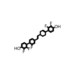 Oc1ccc(C2=CCC(/C=C/c3ccc(-c4ccc(O)c(F)c4F)c(F)c3)CC2)c(F)c1F